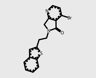 O=C1c2c(Br)ccnc2CN1CCc1cc2ccccc2s1